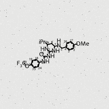 COc1ccc(CNC2CC(C(C)C)NC(NC(=O)Nc3ccc(OC(F)(F)F)cc3)N2)cc1